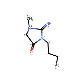 CC(=O)CCCN1C(=N)N(C)CC1=O